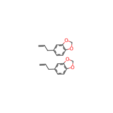 C=CCc1ccc2c(c1)OCO2.C=CCc1ccc2c(c1)OCO2